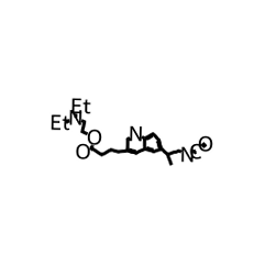 CCN(CC)CCOC(=O)CCCc1cnc2ccc(C(C)CN=C=O)cc2c1